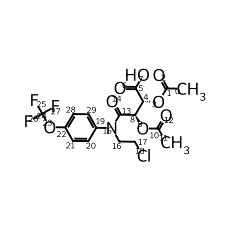 CC(=O)O[C@@H](C(=O)O)[C@@H](OC(C)=O)C(=O)N(CCCl)c1ccc(OC(F)(F)F)cc1